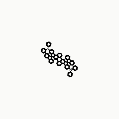 c1ccc(N(c2ccccc2)c2ccc3c(c2)C2(c4ccccc4-c4ccccc42)c2cc4c5cccc6c7c(cc(c8cccc(c2-3)c84)c65)C2(c3ccccc3-c3ccccc32)c2cc(N(c3ccccc3)c3ccccc3)ccc2-7)cc1